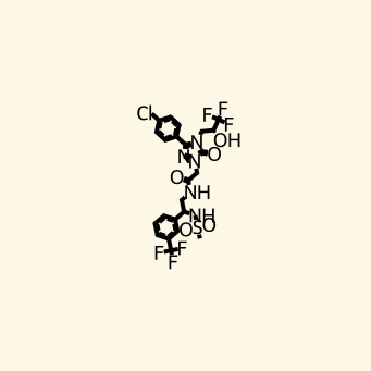 CS(=O)(=O)NC(CNC(=O)Cn1nc(-c2ccc(Cl)cc2)n(C[C@H](O)C(F)(F)F)c1=O)c1cccc(C(F)(F)F)c1